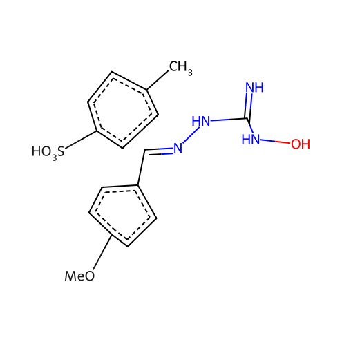 COc1ccc(C=NNC(=N)NO)cc1.Cc1ccc(S(=O)(=O)O)cc1